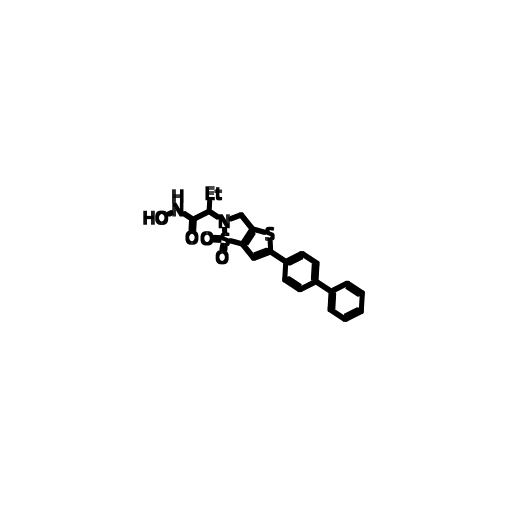 CCC(C(=O)NO)N1Cc2sc(-c3ccc(-c4ccccc4)cc3)cc2S1(=O)=O